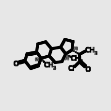 CC(C(=O)Cl)[C@H]1CCC2C3CCC4=CC(=O)C=C[C@]4(C)C3CC[C@@]21C